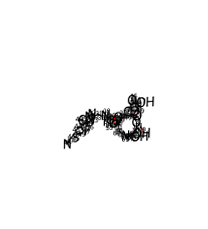 CC[C@H]1OC(=O)[C@H](C)[C@@H](O[C@H]2C[C@@](C)(OC)[C@@H](O)[C@H](C)O2)[C@H](C)[C@@H](O[C@H]2C[C@@H](N(C)CCc3cn([C@H](CF)[C@H](OC)c4ccc(SCC#N)cc4)nn3)C[C@@H](C)O2)[C@](C)(O)C[C@@H](C)CN(C)[C@H](C)[C@@H](O)[C@]1(C)O